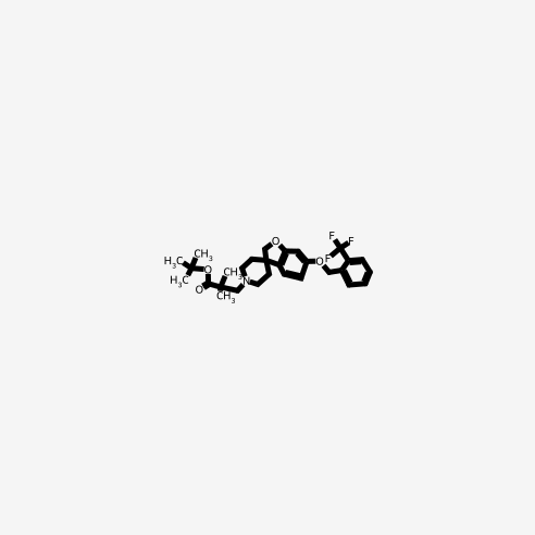 CC(C)(C)OC(=O)C(C)(C)CN1CCC2(CC1)COc1cc(OCc3ccccc3C(F)(F)F)ccc12